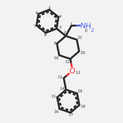 NCC1(c2ccccc2)CCC(OCc2ccccc2)CC1